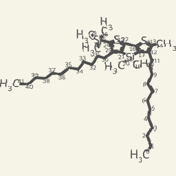 CCCCCCCCCCCCc1c(C)sc2c1[Si](C)(C)c1c-2sc([Si](C)(C)C)c1CCCCCCCCCCCC